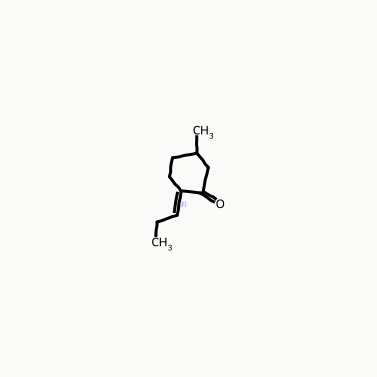 CC/C=C1\CCC(C)CC1=O